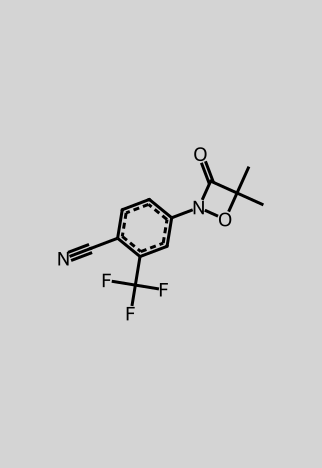 CC1(C)ON(c2ccc(C#N)c(C(F)(F)F)c2)C1=O